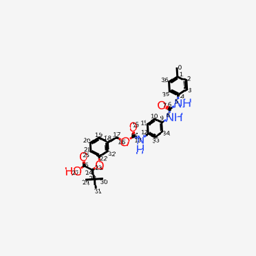 Cc1ccc(NC(=O)Nc2ccc(NC(=O)OCc3cccc(OC(C(=O)O)C(C)(C)C)c3)cc2)cc1